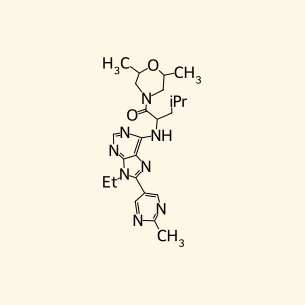 CCn1c(-c2cnc(C)nc2)nc2c(NC(CC(C)C)C(=O)N3CC(C)OC(C)C3)ncnc21